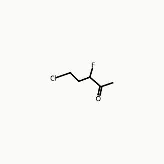 CC(=O)C(F)CCCl